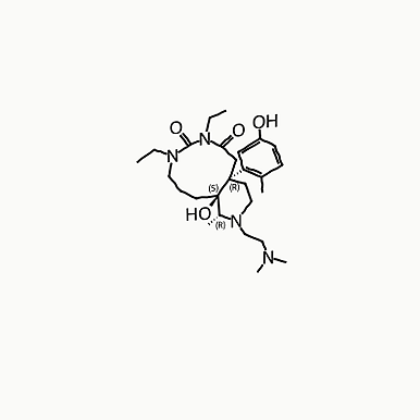 CCN1CCC[C@@]2(O)[C@@H](C)N(CCN(C)C)CC[C@]2(c2cc(O)ccc2C)CC(=O)N(CC)C1=O